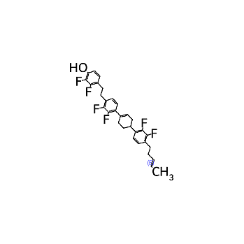 C/C=C/CCc1ccc(C2CC=C(c3ccc(CCc4ccc(O)c(F)c4F)c(F)c3F)CC2)c(F)c1F